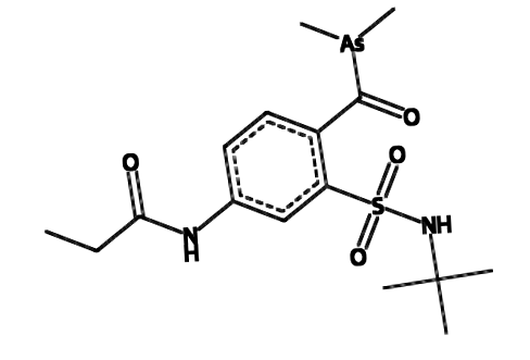 CCC(=O)Nc1ccc(C(=O)[As](C)C)c(S(=O)(=O)NC(C)(C)C)c1